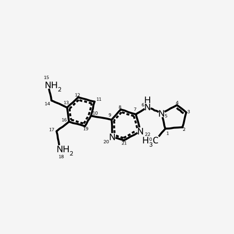 CC1CC=CN1Nc1cc(-c2ccc(CN)c(CN)c2)ncn1